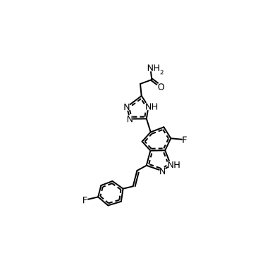 NC(=O)Cc1nnc(-c2cc(F)c3[nH]nc(/C=C/c4ccc(F)cc4)c3c2)[nH]1